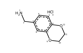 Cl.NCc1ccc2c(c1)OCCO2